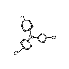 Clc1cc[c]([Sb]([c]2ccc(Cl)cc2)[c]2ccc(Cl)cc2)cc1